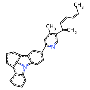 C=C(/C=C\C=C/C)c1cnc(-c2ccc3c(c2)c2cccc4c5ccccc5n3c42)cc1C